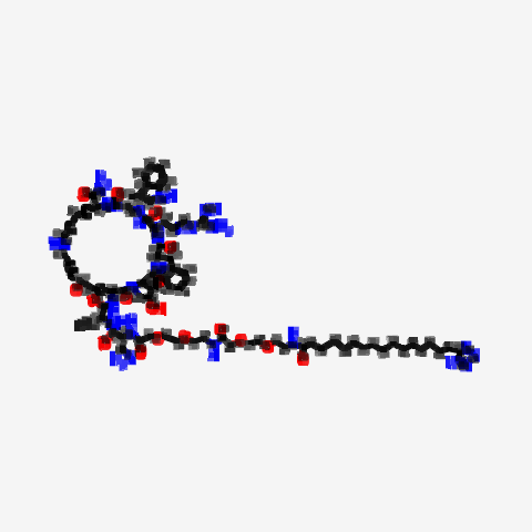 CCCC[C@H](NC(=O)[C@H](CN)NC(=O)COCCOCCNC(=O)COCCOCCNC(=O)CCCCCCCCCCCCCCCc1nnn[nH]1)C(=O)N[C@H]1CCC(=O)CCCNCCCC[C@@H](C(N)=O)NC(=O)[C@H](Cc2c[nH]c3ccccc23)NC(=O)[C@H](CCCNC(=N)N)NC(=O)[C@@H](Cc2ccccc2)NC(=O)[C@@H]2C[C@@H](O)CN2C1=O